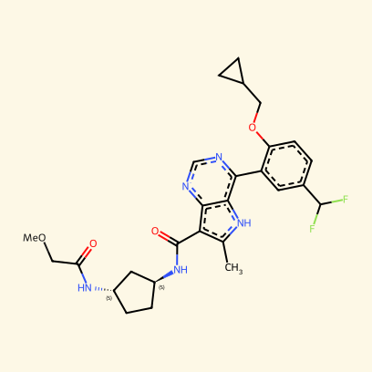 COCC(=O)N[C@H]1CC[C@H](NC(=O)c2c(C)[nH]c3c(-c4cc(C(F)F)ccc4OCC4CC4)ncnc23)C1